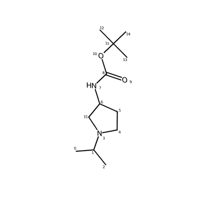 CC(C)N1CCC(NC(=O)OC(C)(C)C)C1